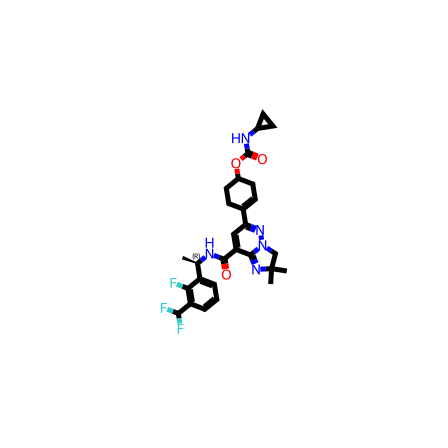 C[C@@H](NC(=O)C1=CC(C2=CCC(OC(=O)NC3CC3)CC2)=NN2CC(C)(C)N=C12)c1cccc(C(F)F)c1F